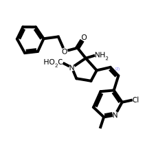 Cc1ccc(/C=C\C2CCN(C(=O)O)C2(N)C(=O)OCc2ccccc2)c(Cl)n1